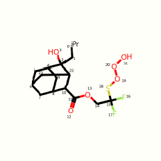 CC(C)CC1(O)C2CC3CC(C2)C(C(=O)OCC(F)(F)SOOO)C1C3